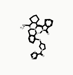 CNC(=O)C1CCCCC1C(=O)N1CCc2cccc(OC3CCN(C(=O)c4cncs4)C3)c2[C@H]1CN1C(=O)c2ccccc2C1=O